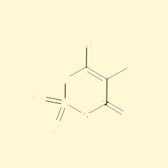 CCC1=C(C)C(=O)NS(=O)(=O)O1